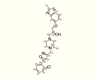 Cc1nc2cc(OC[C@@H](O)CN3CCN(Cc4cc(-c5ccccc5Cl)on4)[C@@H](C)C3)ccc2s1